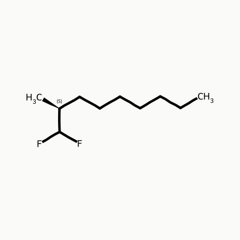 CCCCCCC[C@H](C)C(F)F